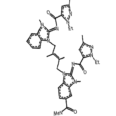 CCn1nc(C)cc1C(=O)/N=c1\n(C)c2ccccc2n1C/C(C)=C(\C)Cn1/c(=N/C(=O)c2cc(C)nn2CC)n(C)c2cc(C(=O)NC)ccc21